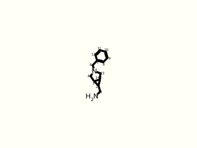 NCC1C2CN(Cc3ccccc3)CC12